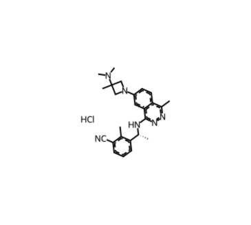 Cc1c(C#N)cccc1[C@@H](C)Nc1nnc(C)c2ccc(N3CC(C)(N(C)C)C3)cc12.Cl